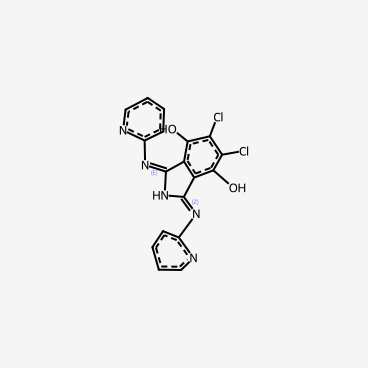 Oc1c(Cl)c(Cl)c(O)c2c1/C(=N/c1ccccn1)N/C2=N/c1ccccn1